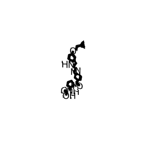 Cn1c(-c2cc3cc(OCCC4CC4)ccc3[nH]2)nc2cc(C(=O)N3CCCC(NC(=O)O)C3)ccc21